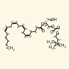 CCCCC/C=C\C/C=C\C/C=C\C/C=C\CCCC(=O)O[C@H](CO)COP(=O)([O-])OCC[N+](C)(C)C